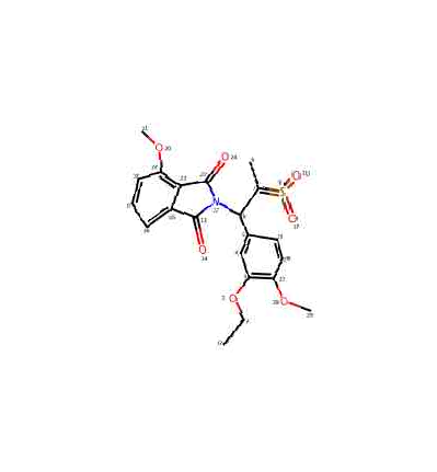 CCOc1cc(C(C(C)=S(=O)=O)N2C(=O)c3cccc(OC)c3C2=O)ccc1OC